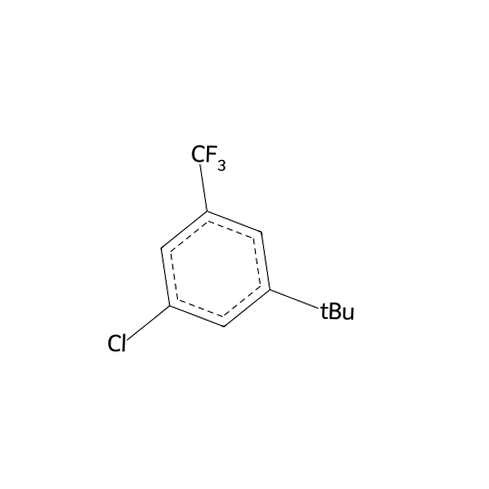 CC(C)(C)c1cc(Cl)cc(C(F)(F)F)c1